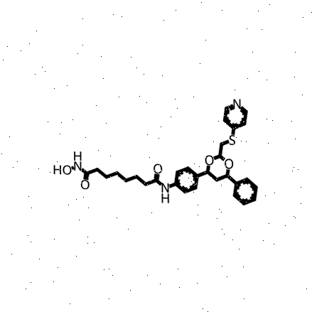 O=C(CCCCCCC(=O)Nc1ccc(C2CC(c3ccccc3)OC(CSc3ccncc3)O2)cc1)NO